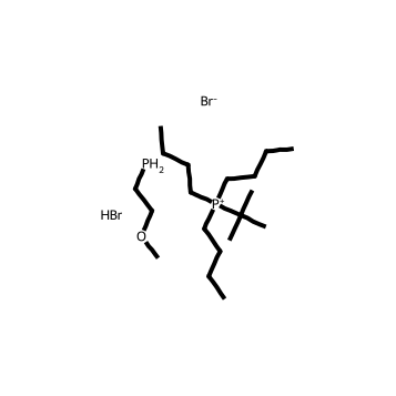 Br.CCCC[P+](CCCC)(CCCC)C(C)(C)C.COCCP.[Br-]